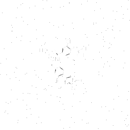 CCn1cc(-c2ccc(C[C@@H](CCO)NC(=O)c3ccc(O[C@H](C)C(F)(F)F)c(Cl)c3)cc2F)nc1C(C)=O